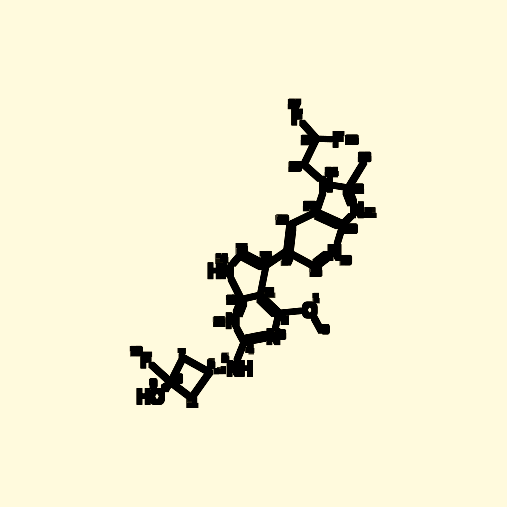 COc1nc(N[C@H]2C[C@@](O)(F)C2)nc2[nH]cc(-c3cnc4nc(C)n(CC(F)F)c4c3)c12